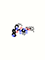 Cc1cc(NC(=O)C(=O)N2CC(C)CCC2c2ccc3cnccc3c2)cnc1NC(=O)OC(C)(C)C